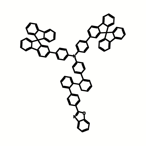 C1=CCC(c2ccccc2-c2ccc(-c3nc4ccccc4o3)cc2)C(c2ccc(N(c3ccc(-c4ccc5c(c4)C4(c6ccccc6-c6ccccc64)c4ccccc4-5)cc3)c3ccc(-c4ccc5c(c4)C4(c6ccccc6-c6ccccc64)c4ccccc4-5)cc3)cc2)=C1